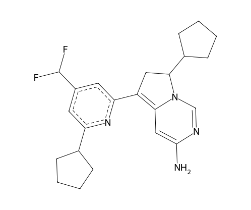 NC1=CC2=C(c3cc(C(F)F)cc(C4CCCC4)n3)CC(C3CCCC3)N2C=N1